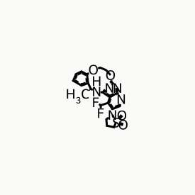 C[C@H]1Nc2nc(nc3ncc(N4CCCS4(=O)=O)c(C(F)F)c23)OCCOc2ccccc21